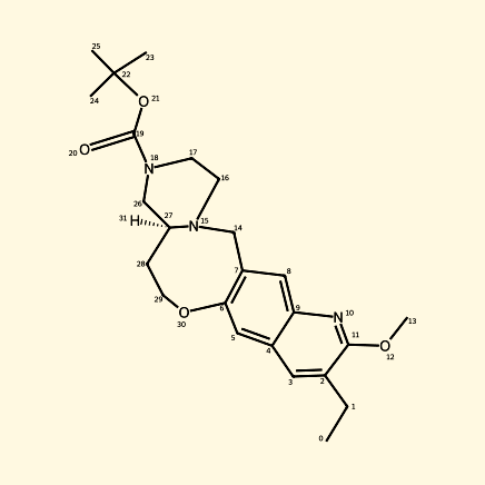 CCc1cc2cc3c(cc2nc1OC)CN1CCN(C(=O)OC(C)(C)C)C[C@@H]1CCO3